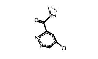 CNC(=O)c1cc(Cl)cnn1